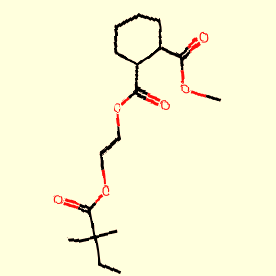 CCC(C)(C)C(=O)OCCOC(=O)C1CCCCC1C(=O)OC